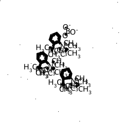 CC(C)(C)c1ccccc1[N+](C)(C)C(C)(C)C.CC(C)(C)c1ccccc1[N+](C)(C)C(C)(C)C.CC(C)(C)c1ccccc1[N+](C)(C)C(C)(C)C.[O-]B([O-])[O-]